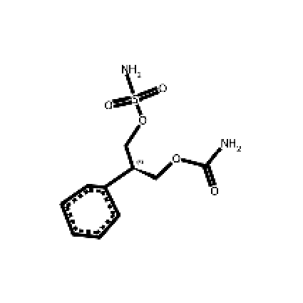 NC(=O)OC[C@H](COS(N)(=O)=O)c1ccccc1